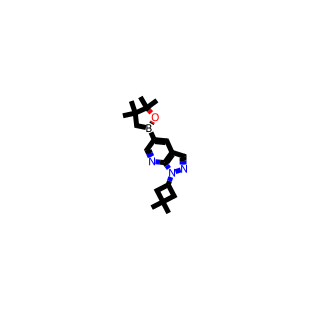 CC1(C)CC(n2ncc3cc(B4CC(C)(C)C(C)(C)O4)cnc32)C1